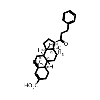 C[C@]12CC[C@H]3[C@@H](CC=C4C=C(C(=O)O)CC[C@@]43C)[C@@H]1CC[C@H]2C(=O)CCc1ccccc1